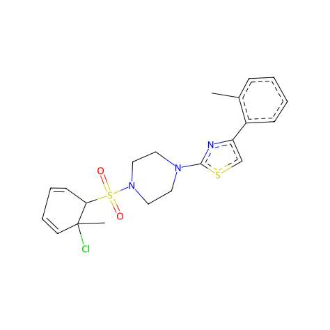 Cc1ccccc1-c1csc(N2CCN(S(=O)(=O)C3C=CC=CC3(C)Cl)CC2)n1